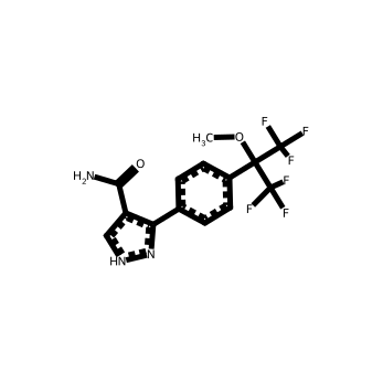 COC(c1ccc(-c2n[nH]cc2C(N)=O)cc1)(C(F)(F)F)C(F)(F)F